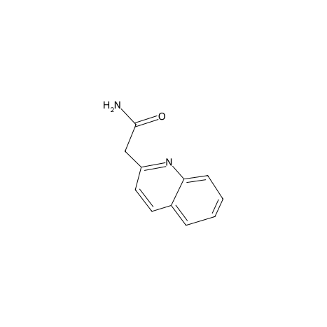 NC(=O)Cc1ccc2ccccc2n1